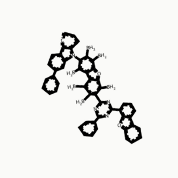 Bc1c(-n2c3ccccc3c3ccc(-c4ccccc4)cc32)c(B)c2c(oc3c(B)c(-c4nc(-c5ccccc5)nc(-c5cccc6c5oc5ccccc56)n4)c(B)c(B)c32)c1B